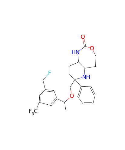 CC(OCC1(c2ccccc2)CCC2NC(=O)OCCC2N1)c1cc(CF)cc(C(F)(F)F)c1